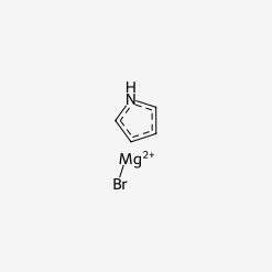 [Mg+2][Br].c1cc[nH]c1